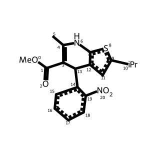 COC(=O)C1=C(C)Nc2sc(C(C)C)cc2C1c1ccccc1[N+](=O)[O-]